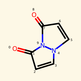 O=c1ccn2ccc(=O)n12